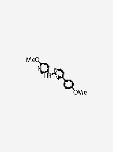 COc1ccc(-c2ccnc(Nc3ccc(OC)nc3)n2)cc1